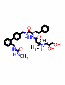 CNC(=O)NCc1ccccc1-c1ccc(CNC(=O)[C@@H](CCc2ccccc2)NC(=O)CC(C)(C)NC[C@H](O)CO)cc1